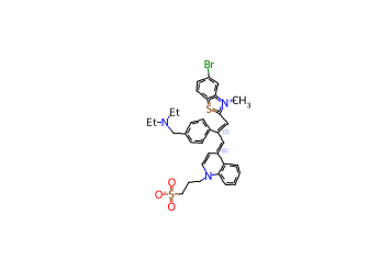 CCN(CC)Cc1ccc(C(=C\c2sc3ccc(Br)cc3[n+]2C)/C=C2\C=CN(CCCS(=O)(=O)[O-])c3ccccc32)cc1